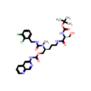 CN(C(=O)NCc1cccc(F)c1Cl)[C@@H](CCCNC(=O)[C@@H](CO)NC(=O)OC(C)(C)C)COC(=O)Nc1cc2cccnc2cn1